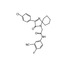 N#Cc1cc(NC(=O)CN2C(=O)C(c3ccc(Cl)cc3)=NC23CCCCC3)ccc1F